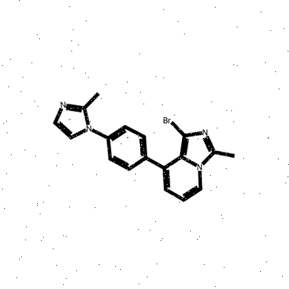 Cc1nccn1-c1ccc(-c2cccn3c(C)nc(Br)c23)cc1